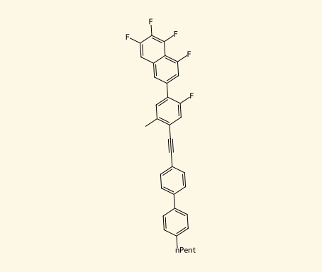 CCCCCc1ccc(-c2ccc(C#Cc3cc(F)c(-c4cc(F)c5c(F)c(F)c(F)cc5c4)cc3C)cc2)cc1